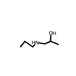 CCCNCC(C)O